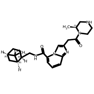 C[C@H]1CNCCN1C(=O)Cc1cn2c(C(=O)NC[C@@H]3CC[C@@H]4C[C@H]3C4(C)C)cccc2n1